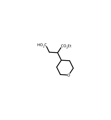 CCOC(=O)C(CC(=O)O)C1CCOCC1